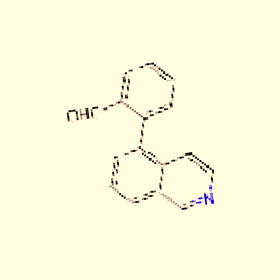 O=Cc1ccccc1-c1cccc2cnccc12